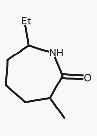 CCC1CCCC(C)C(=O)N1